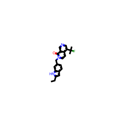 CCc1cc2ccc(Cn3ccc4c(C(C)(C)F)cncc4c3=O)cc2[nH]1